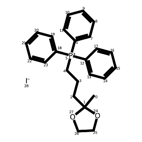 CC1(CCC[P+](c2ccccc2)(c2ccccc2)c2ccccc2)OCCO1.[I-]